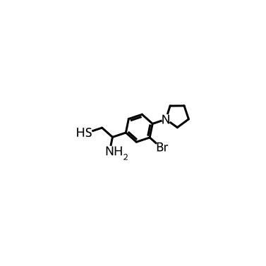 NC(CS)c1ccc(N2CCCC2)c(Br)c1